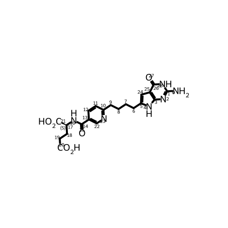 Nc1nc2[nH]c(CCCCc3ccc(C(=O)N[C@@H](CCC(=O)O)C(=O)O)cn3)cc2c(=O)[nH]1